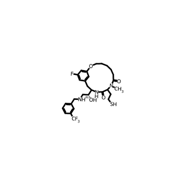 CN1C(=O)CCCCCOc2cc(F)cc(c2)CC([C@H](O)CNCc2cccc(C(F)(F)F)c2)NC(=O)C1CCS